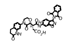 O=C(O)C[C@@H](C(=O)Nc1ccc2c(N3C(=O)c4ccccc4C3=O)noc2c1)[C@H]1OCCN(c2ccc3c(c2)NC(=O)CC3)C1=O